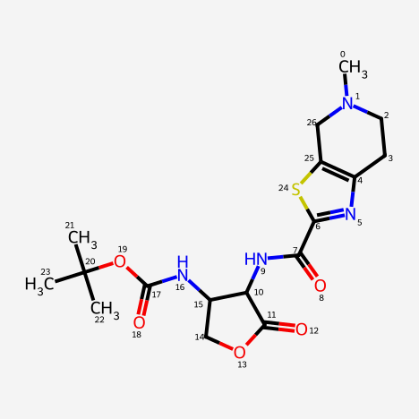 CN1CCc2nc(C(=O)NC3C(=O)OCC3NC(=O)OC(C)(C)C)sc2C1